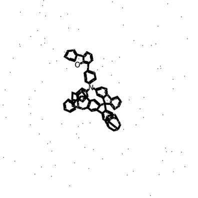 c1ccc(-c2ccc(N(c3ccc(-c4cccc5c4oc4ccccc45)cc3)c3ccc4c(c3)C3(c5ccccc5-4)c4cc5c(cc4-c4cc6c(cc43)C3CC4CC7CC6CC74C3)C3CC4CC(C3)CC5C4)cc2)cc1